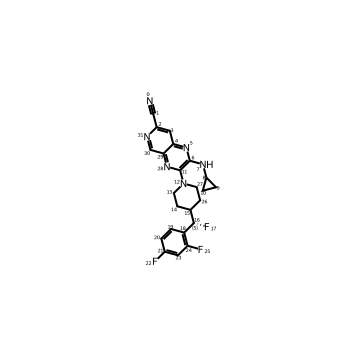 N#Cc1cc2nc(NC3CC3)c(N3CCC([C@H](F)c4ccc(F)cc4F)CC3)nc2cn1